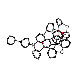 c1ccc(-c2ccc(N(c3ccc(-c4cccc5c4-c4ccccc4C54c5ccccc5Oc5ccccc54)cc3)c3ccccc3-c3ccc4c(c3)C3(c5ccccc5Oc5ccccc53)c3ccccc3-4)cc2)cc1